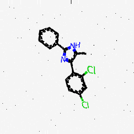 Cc1[nH]c(-c2ccccc2)nc1-c1ccc(Cl)cc1Cl